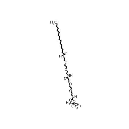 CCCCCCCCCCCCCCCC(=O)NCCOCCOCCNC(=O)CCOCCOCCNC(=O)OC(C)(C)C